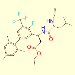 C=CNC(CC(C)C)C(=O)N[C@@H](CC(=O)OCC)c1cc(-c2c(C)cc(C)cc2C)cc(C(F)(F)F)c1F